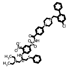 CCN(CC)C[C@H](CSc1ccccc1)Nc1ccc(S(=O)(=O)NC(=O)c2ccc(N3CCN(Cc4cc(Cl)ccc4-c4ccccc4)CC3)cc2)cc1[N+](=O)[O-]